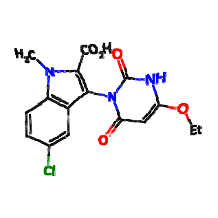 CCOc1cc(=O)n(-c2c(C(=O)O)n(C)c3ccc(Cl)cc23)c(=O)[nH]1